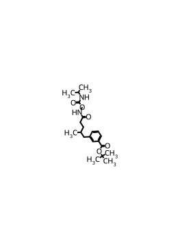 CC(CCC(=O)NOC(=O)NC(C)C)Cc1cccc(C(=O)OC(C)(C)C)c1